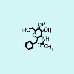 CC(=O)NC1C(Cc2ccccc2)OC(CO)[C@@H](O)[C@@H]1O